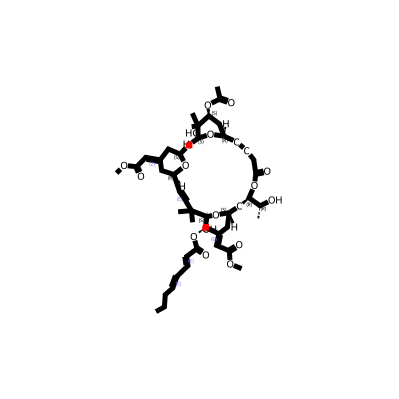 CCC/C=C/C=C/C(=O)O[C@H]1/C(=C/C(=O)OC)C[C@H]2C[C@H]([C@@H](C)O)OC(=O)CCC[C@@H]3C[C@H](OC(C)=O)C(C)(C)[C@](O)(C[C@@H]4C/C(=C/C(=O)OC)C[C@H](/C=C/C(C)(C)[C@]1(O)O2)O4)O3